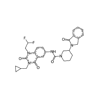 O=C(Nc1ccc2c(c1)c(=O)n(CC1CC1)c(=O)n2CC(F)F)N1CCCC(N2Cc3ccccc3C2=O)C1